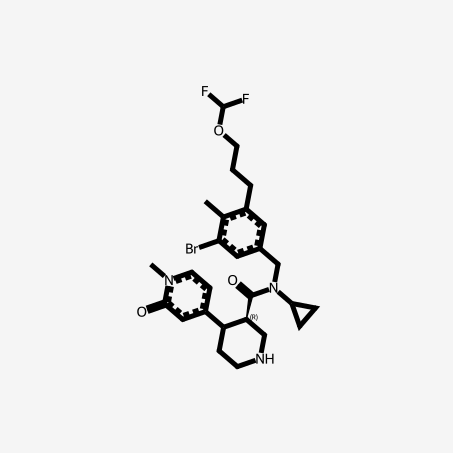 Cc1c(Br)cc(CN(C(=O)[C@H]2CNCCC2c2ccn(C)c(=O)c2)C2CC2)cc1CCCOC(F)F